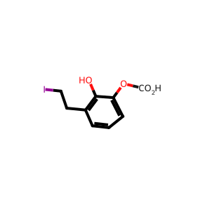 O=C(O)Oc1cccc(CCI)c1O